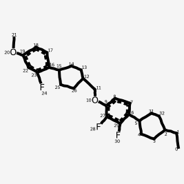 CCC1CCC(c2ccc(OCC3CCC(c4ccc(OC)cc4F)CC3)c(F)c2F)CC1